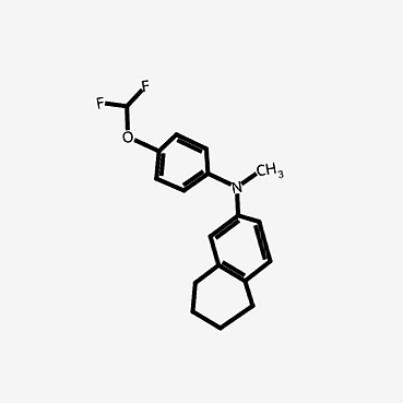 CN(c1ccc(OC(F)F)cc1)c1ccc2c(c1)CCCC2